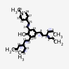 C=C/C=C(\C=C/C)/C=C/c1cc(/C=C/C(/C=C\C)=C/C=C)c(O)c(/C=C/c2cc[n+](C)cc2)c1